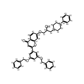 O=c1cc(-c2cc(OCc3ccccc3)cc(OCc3ccccc3)c2)oc2cc(OCC(O)CN3CCN(c4ccccc4)CC3)ccc12